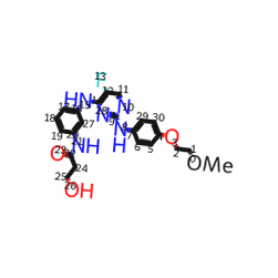 COCCOc1ccc(Nc2ncc(F)c(Nc3cccc(NC(=O)CCO)c3)n2)cc1